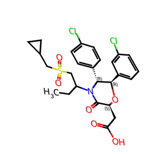 CCC(CS(=O)(=O)CC1CC1)N1C(=O)[C@H](CC(=O)O)O[C@H](c2cccc(Cl)c2)[C@H]1c1ccc(Cl)cc1